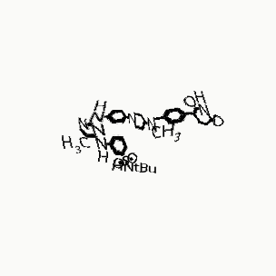 Cc1cnc(Nc2ccc(N3CCC(N(C)Cc4ccc(C5CCC(=O)NC5=O)cc4)CC3)cc2)nc1Nc1cccc(S(=O)(=O)NC(C)(C)C)c1